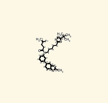 C=C(F)CCC(=O)N(CCCCCc1noc(C(C)(C)C)n1)c1cccc(-c2ccc3nc(C)sc3c2)c1